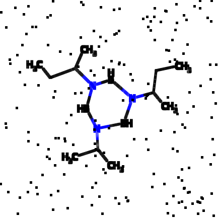 CCC(C)N1BN(C(C)C)BN(C(C)CC)B1